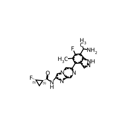 Cc1c(F)c(C(C)N)c2[nH]ncc2c1-c1cn2cc(NC(=O)[C@@H]3C[C@@H]3F)nc2cn1